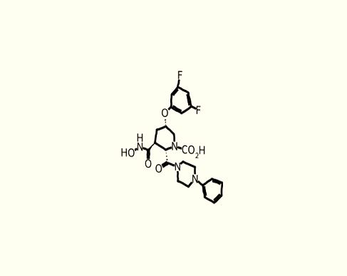 O=C(NO)[C@H]1C[C@H](Oc2cc(F)cc(F)c2)CN(C(=O)O)[C@@H]1C(=O)N1CCN(c2ccccc2)CC1